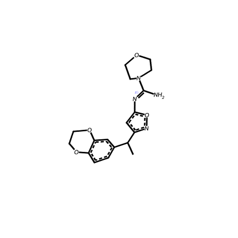 CC(c1ccc2c(c1)OCCO2)c1cc(/N=C(\N)N2CCOCC2)on1